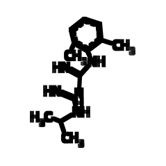 Cc1cccc(C)c1NC(=N)NC(=N)NC(C)C